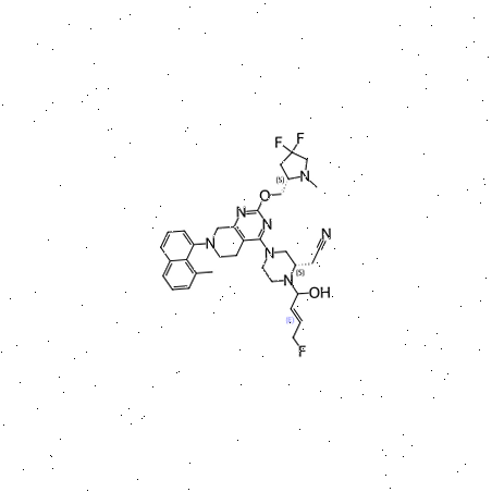 Cc1cccc2cccc(N3CCc4c(nc(OC[C@@H]5CC(F)(F)CN5C)nc4N4CCN(C(O)/C=C/CF)[C@@H](CC#N)C4)C3)c12